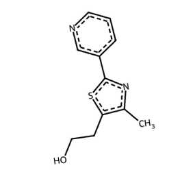 Cc1nc(-c2cccnc2)sc1CCO